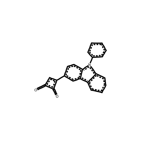 O=c1cc(-c2ccc3c(c2)c2ccccc2n3-c2ccccc2)c1=O